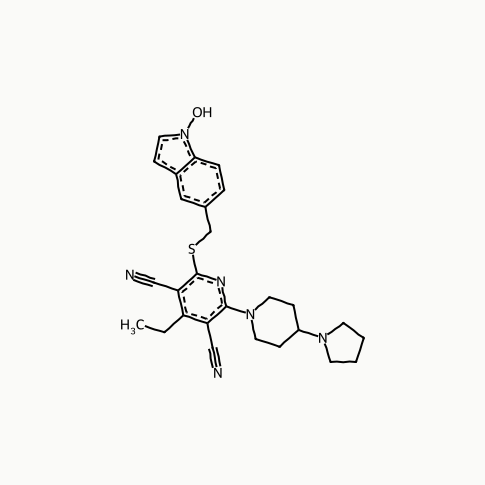 CCc1c(C#N)c(SCc2ccc3c(ccn3O)c2)nc(N2CCC(N3CCCC3)CC2)c1C#N